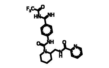 N=C(NC(=O)C(F)(F)F)c1ccc(NC(=O)N2CCCCC2CNC(=O)c2ccccn2)cc1